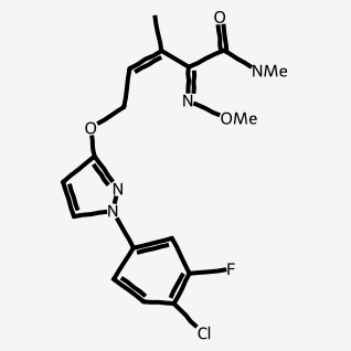 CNC(=O)C(=NOC)C(C)=CCOc1ccn(-c2ccc(Cl)c(F)c2)n1